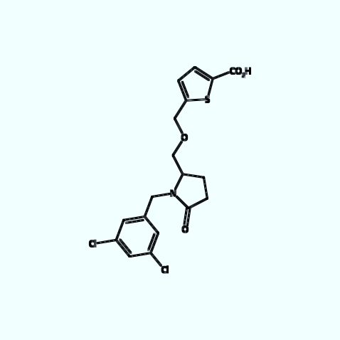 O=C(O)c1ccc(COCC2CCC(=O)N2Cc2cc(Cl)cc(Cl)c2)s1